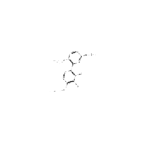 CCCCCCCOc1ccc(-c2cc(CCCCCC)ccc2C(=O)O)c(F)c1F